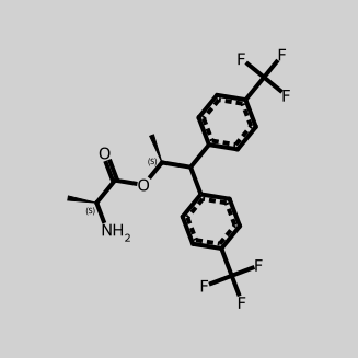 C[C@H](N)C(=O)O[C@@H](C)C(c1ccc(C(F)(F)F)cc1)c1ccc(C(F)(F)F)cc1